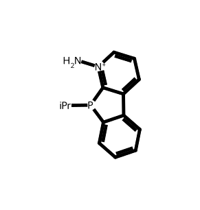 CC(C)p1c2ccccc2c2ccc[n+](N)c21